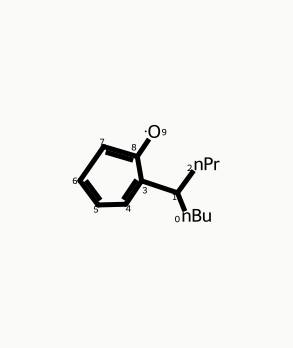 CCCCC(CCC)c1ccccc1[O]